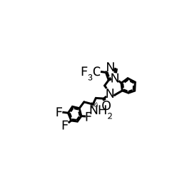 N[C@@H](CC(=O)N1Cc2ccccc2-n2cnc(C(F)(F)F)c2C1)Cc1cc(F)c(F)cc1F